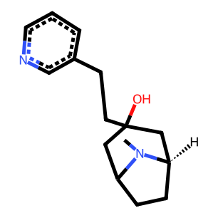 CN1C2CC[C@@H]1CC(O)(CCc1cccnc1)C2